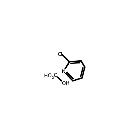 Clc1ccccn1.O=C(O)O